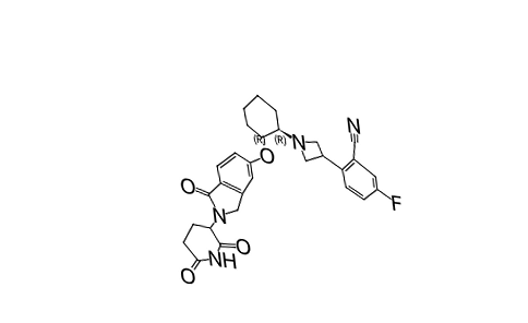 N#Cc1cc(F)ccc1C1CN([C@@H]2CCCC[C@H]2Oc2ccc3c(c2)CN(C2CCC(=O)NC2=O)C3=O)C1